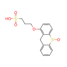 O=S(=O)(O)CCCOc1cccc2c1Cc1ccccc1[S+]2[O-]